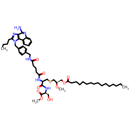 CCCCCCCCCCCCCCCC(=O)OC[C@H](CSCC(NC(=O)CCCC(=O)NCc1ccc(Cn2c(CCCC)nc3c(N)nc4ccccc4c32)cc1)C(=O)N[C@@H](CO)C(=O)OC)OC